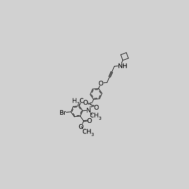 COC(=O)c1cc(Br)cc(C)c1N(C)S(=O)(=O)c1ccc(OCC#CCNC2CCC2)cc1